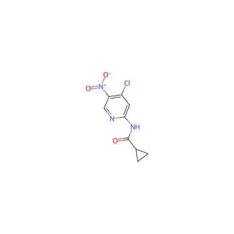 O=C(Nc1cc(Cl)c([N+](=O)[O-])cn1)C1CC1